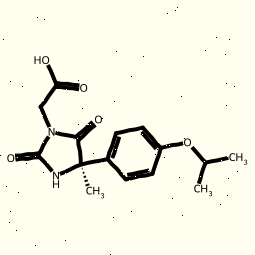 CC(C)Oc1ccc([C@@]2(C)NC(=O)N(CC(=O)O)C2=O)cc1